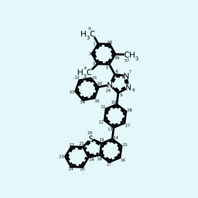 Cc1cc(C)c(-c2nnc(-c3ccc(-c4cccc5c4sc4ccccc45)cc3)n2-c2ccccc2)c(C)c1